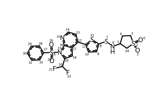 O=S1(=O)CCC(NSc2ccc(-c3ccnc4c3cc(C(F)F)n4S(=O)(=O)c3ccccc3)s2)C1